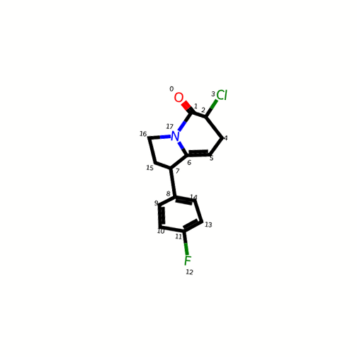 O=C1C(Cl)CC=C2C(c3ccc(F)cc3)CCN12